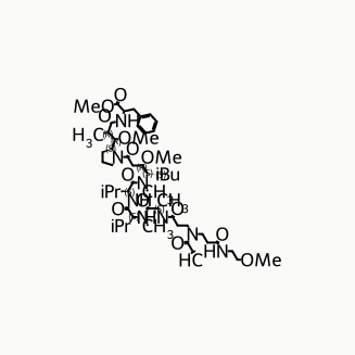 C#CC(=O)N(CCC(=O)NCCOC)CCC(=O)N[C@@H](C)C(=O)N(C)[C@H](C(=O)N[C@H](C(=O)N(C)[C@@H]([C@@H](C)CC)[C@@H](CC(=O)N1CCC[C@H]1[C@H](OC)[C@@H](C)C(=O)NC(Cc1ccccc1)C(=O)OC)OC)C(C)C)C(C)C